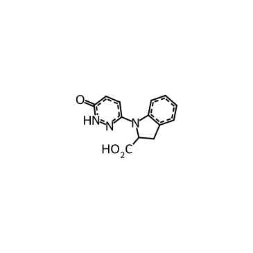 O=C(O)C1Cc2ccccc2N1c1ccc(=O)[nH]n1